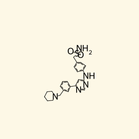 NS(=O)(=O)Cc1ccc(Nc2cc(-c3cccc(CN4CCCCC4)c3)ncn2)cc1